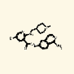 CN1CCC(CNc2ncc(Br)cc2C(=O)NCc2ccc3c(N)nccc3c2)CC1